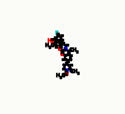 CO[n+]1ccc(-c2ccc([C@H](C)N3CC[C@](CC(C)(C)O)(c4ccc(F)cc4)OC3=O)cc2)cc1C